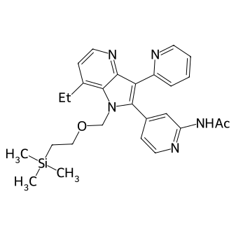 CCc1ccnc2c(-c3ccccn3)c(-c3ccnc(NC(C)=O)c3)n(COCC[Si](C)(C)C)c12